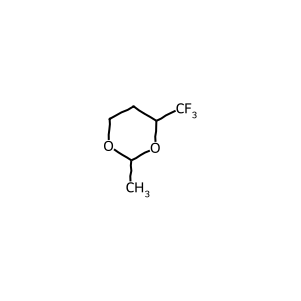 CC1OCCC(C(F)(F)F)O1